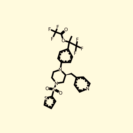 CC(OC(=O)C(F)(F)F)(c1ccc(N2CCN(S(=O)(=O)c3cccs3)C[C@@H]2Cc2ccncc2)cc1)C(F)(F)F